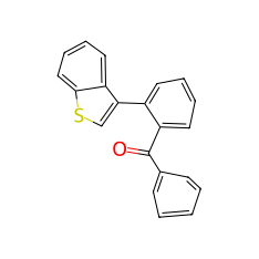 O=C(c1ccccc1)c1ccccc1-c1csc2ccccc12